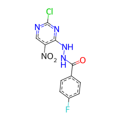 O=C(NNc1nc(Cl)ncc1[N+](=O)[O-])c1ccc(F)cc1